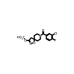 O=C(O)OC1=NOC2(CCN(C(=O)c3ccc(F)c(Cl)c3)CC2)C1